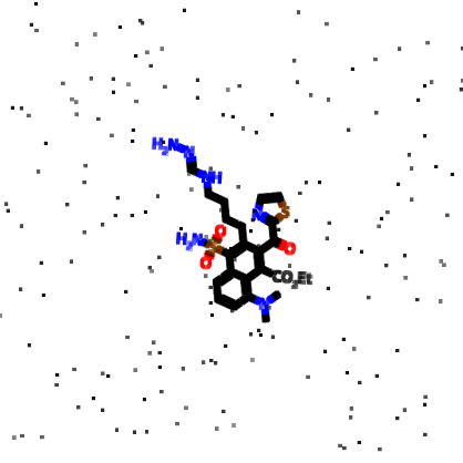 CCOC(=O)c1c(C(=O)c2nccs2)c(CCCCNC=NN)c(S(N)(=O)=O)c2cccc(N(C)C)c12